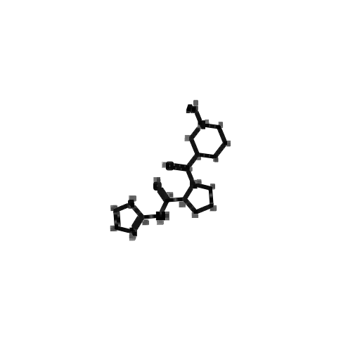 CC(=O)N1CCCC(C(=O)N2CCCC2C(=O)Nc2nccs2)C1